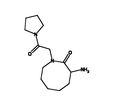 NC1CCCCCN(CC(=O)N2CCCC2)C1=O